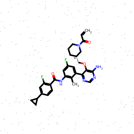 C=CC(=O)N1CCC[C@@H](COc2c(N)ncnc2-c2cc(F)cc(NC(=O)c3ccc(C4CC4)cc3F)c2C)C1